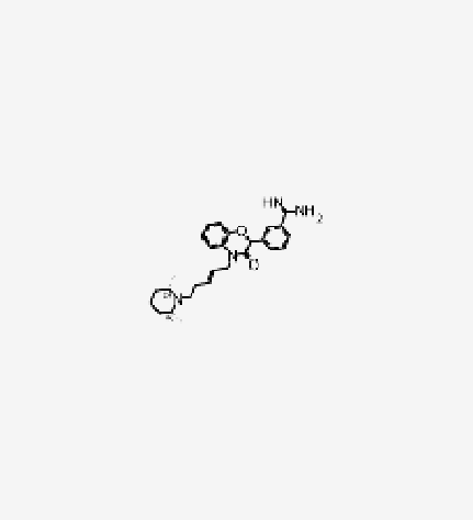 C[C@@H]1CCC[C@H](C)N1CCC=CCN1C(=O)C(c2cccc(C(=N)N)c2)Oc2ccccc21